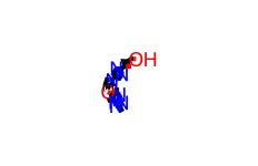 Cc1nc2nc(C)c(O[C@@H]3CCN(c4cnc(C56CC(CO)(C5)C6)nc4)C3)c(C)n2n1